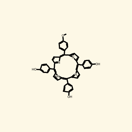 COc1ccc(-c2c3nc(c(-c4ccc(O)cc4)c4ccc([nH]4)c(-c4ccc(O)cc4)c4nc(c(-c5ccc(O)cc5)c5ccc2[nH]5)C=C4)C=C3)cc1